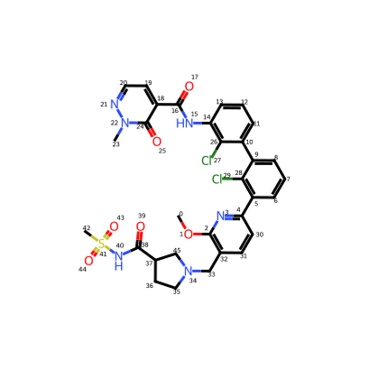 COc1nc(-c2cccc(-c3cccc(NC(=O)c4ccnn(C)c4=O)c3Cl)c2Cl)ccc1CN1CCC(C(=O)NS(C)(=O)=O)C1